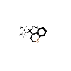 CC(C)(C)C1CCSc2ccccc21